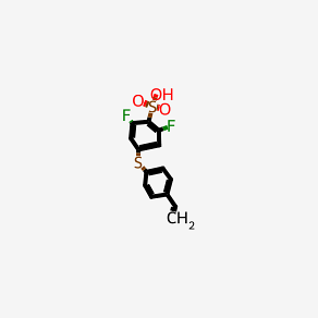 C=Cc1ccc(Sc2cc(F)c(S(=O)(=O)O)c(F)c2)cc1